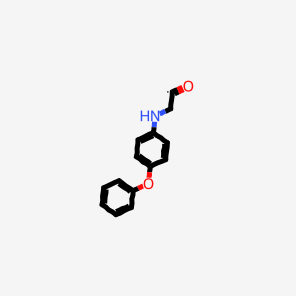 O=[C]CNc1ccc(Oc2ccccc2)cc1